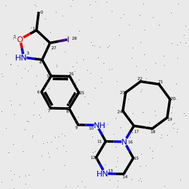 CC1ONC(c2ccc(CNC3CNCCN3C3CCCCCCC3)cc2)C1I